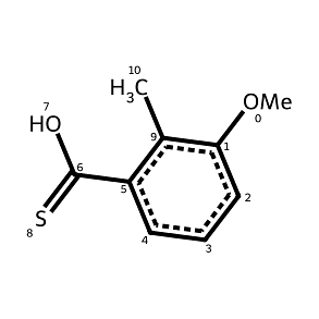 COc1cccc(C(O)=S)c1C